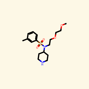 COCCOCCN(C1CCNCC1)S(=O)(=O)c1cccc(C)c1